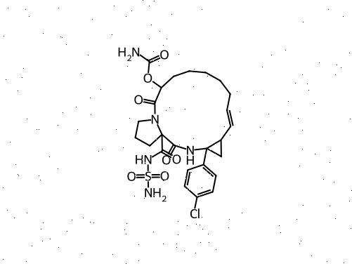 NC(=O)OC1CCCCC/C=C/C2CC2(c2ccc(Cl)cc2)NC(=O)C2(C(=O)NS(N)(=O)=O)CCCN2C1=O